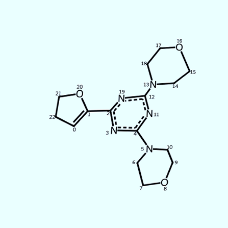 C1=C(c2nc(N3CCOCC3)nc(N3CCOCC3)n2)OCC1